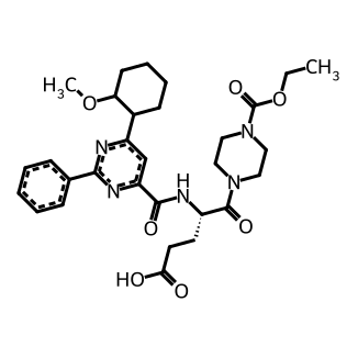 CCOC(=O)N1CCN(C(=O)[C@H](CCC(=O)O)NC(=O)c2cc(C3CCCCC3OC)nc(-c3ccccc3)n2)CC1